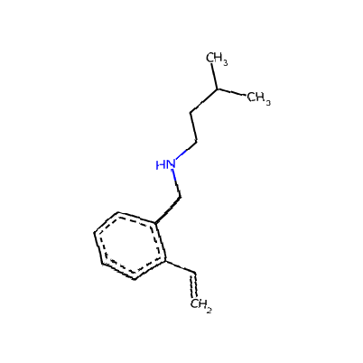 C=Cc1ccccc1CNCCC(C)C